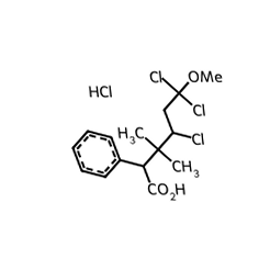 COC(Cl)(Cl)CC(Cl)C(C)(C)C(C(=O)O)c1ccccc1.Cl